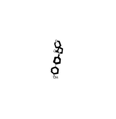 O=C1N(c2ccc([C@H]3CC[C@@H](O)CC3)cc2)CCC12CCOCC2